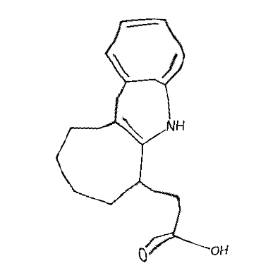 O=C(O)CC1CCCCc2c1[nH]c1ccccc21